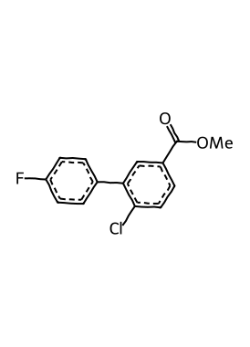 COC(=O)c1ccc(Cl)c(-c2ccc(F)cc2)c1